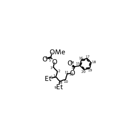 CCC(CCOC(=O)OC)C(CC)CCOC(=O)c1ccccc1